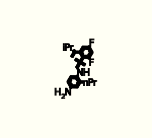 CCCc1cc(N)ccc1NCC(C)(C)c1c(F)cc(F)cc1C(C)C(C)C